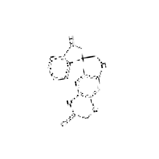 O=C1COc2cc3c(cc2O1)C1(CNc2ccccc21)CO3